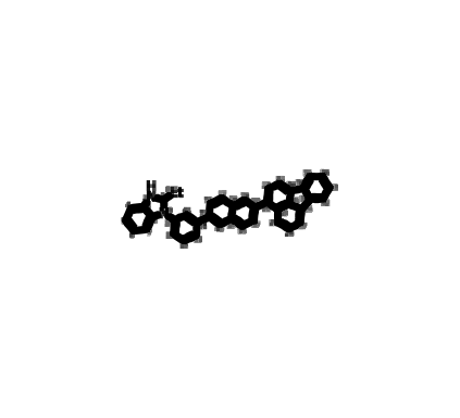 CCC1Nc2ccccc2N1c1cccc(-c2ccc3cc(-c4ccc5c6c(cccc46)-c4ccccc4-5)ccc3c2)c1